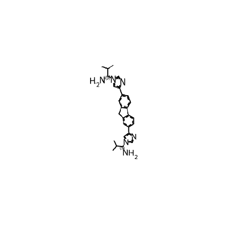 CC(C)[C@@H](N)n1cnc(-c2ccc3c(c2)Cc2cc(-c4cn([C@H](N)C(C)C)cn4)ccc2-3)c1